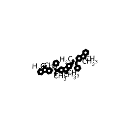 CCC1(N(c2ccccc2)c2ccc3c(c2)C(C)(C)c2ccccc2-3)c2cc3c(cc21)C(C)(C)c1cc2c(cc1-3)C2(CC)N(c1ccccc1)c1ccc2c(c1)C(C)(C)c1ccccc1-2